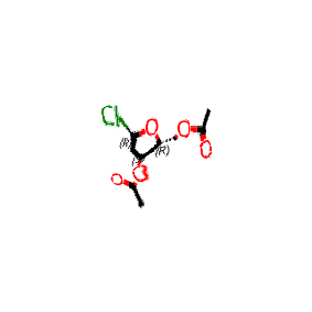 CC(=O)OC[C@H]1O[C@H](Cl)C[C@@H]1OC(C)=O